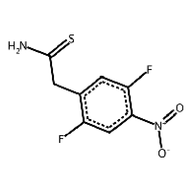 NC(=S)Cc1cc(F)c([N+](=O)[O-])cc1F